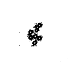 Cc1ccc(-n2c3ccccc3c3cc(N(c4ccc5c(c4)C(C)(C)c4ccccc4-5)c4cccc5oc6ccccc6c45)ccc32)cc1